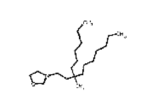 CCCCCCCC(C)(CCCCCC)CCN1CCOC1